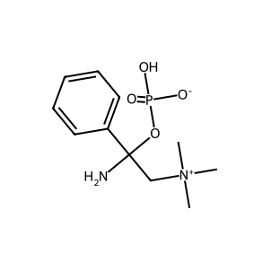 C[N+](C)(C)CC(N)(OP(=O)([O-])O)c1ccccc1